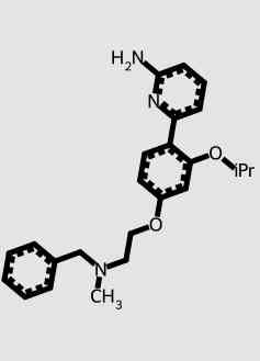 CC(C)Oc1cc(OCCN(C)Cc2ccccc2)ccc1-c1cccc(N)n1